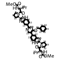 COC(=O)N[C@H](C(=O)N1CCC[C@H]1c1nc2cc(-c3ncc(-c4ccc5[nH]c([C@@H]6CCCN6C(=O)[C@@H](NC(=O)OC)C(C)C)nc5c4)c(OCc4ccccc4)n3)ccc2[nH]1)C(C)C